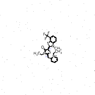 CCn1c(=O)/c(=C2\Sc3c(cccc3C(F)(F)F)N2C)s/c1=C\c1cccc[n+]1CC